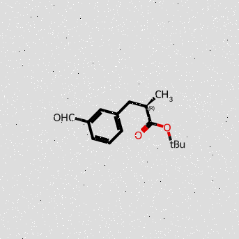 C[C@H](Cc1cccc(C=O)c1)C(=O)OC(C)(C)C